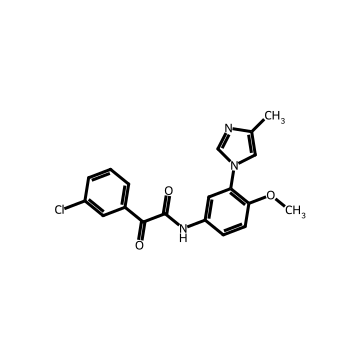 COc1ccc(NC(=O)C(=O)c2cccc(Cl)c2)cc1-n1cnc(C)c1